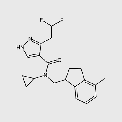 Cc1cccc2c1CCC2CN(C(=O)c1c[nH]nc1CC(F)F)C1CC1